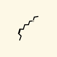 CC/C=C\CCCCOCC